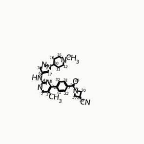 Cc1cnc(Nc2cnn(C3CCN(C)CC3)c2)nc1-c1ccc(C(=O)N2CC(C#N)C2)cc1